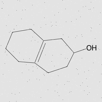 OC1CCC2=C(CCCC2)C1